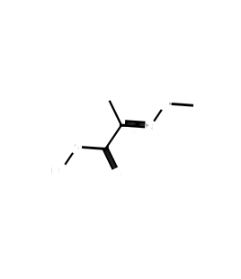 CO/N=C(\C)C(=O)NP